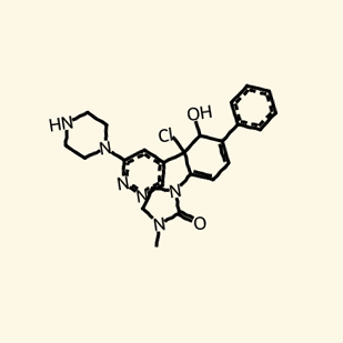 CN1CCN(C2=CC=C(c3ccccc3)C(O)C2(Cl)c2cnnc(N3CCNCC3)c2)C1=O